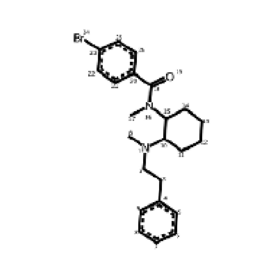 CN(CCc1ccccc1)C1CCCCC1N(C)C(=O)c1ccc(Br)cc1